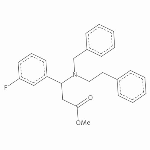 COC(=O)CC(c1cccc(F)c1)N(CCc1ccccc1)Cc1ccccc1